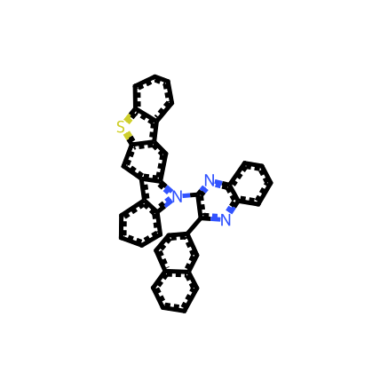 c1ccc2cc(-c3nc4ccccc4nc3-n3c4ccccc4c4cc5sc6ccccc6c5cc43)ccc2c1